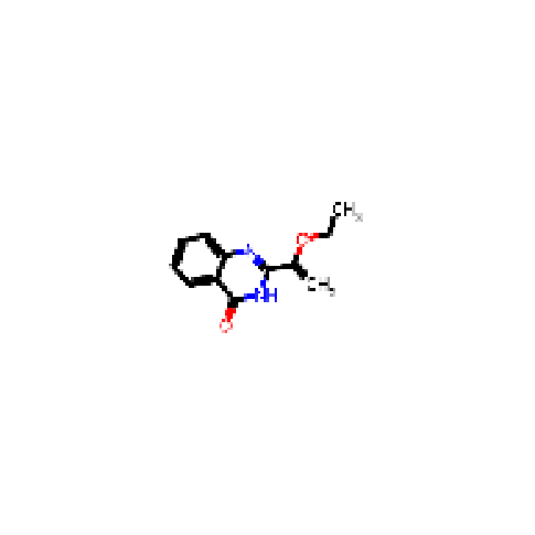 C=C(OCC)c1nc2ccccc2c(=O)[nH]1